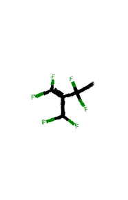 CC(F)(F)C(=C(F)F)C(F)F